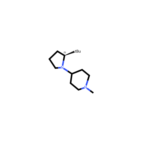 CN1CCC(N2CCC[C@H]2C(C)(C)C)CC1